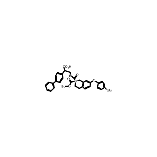 CCCCOC(=O)[N+]1(C(=O)NCC(C(=O)O)c2ccc(-c3ccccc3)cc2)CCc2ccc(Oc3ccc(C(C)(C)C)cc3)cc2C1